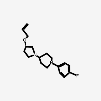 C=CCO[C@@H]1CCN(C2CCN(c3ccc(F)cc3)CC2)C1